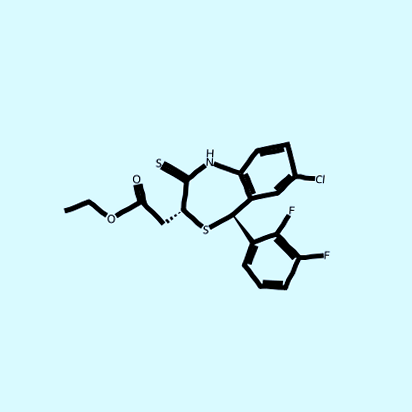 CCOC(=O)C[C@H]1S[C@H](c2cccc(F)c2F)c2cc(Cl)ccc2NC1=S